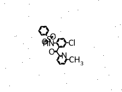 Cc1cccc(C(=O)c2cc(Cl)ccc2NS(=O)(=O)c2ccccc2)n1